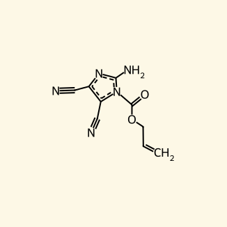 C=CCOC(=O)n1c(N)nc(C#N)c1C#N